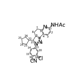 CC(=O)Nc1ccc2c(n1)CCC1C2=NN(c2ccc(C#N)c(Cl)c2)C1C1CCCC1